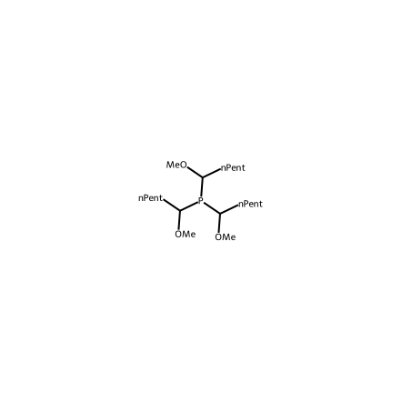 CCCCCC(OC)P(C(CCCCC)OC)C(CCCCC)OC